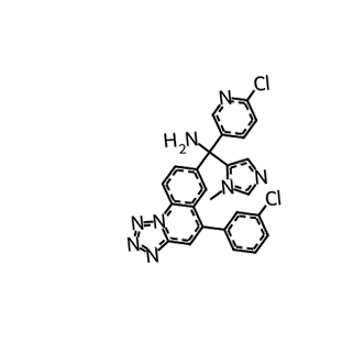 Cn1cncc1C(N)(c1ccc(Cl)nc1)c1ccc2c(c1)c(-c1cccc(Cl)c1)cc1nnnn12